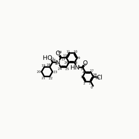 Cc1ccc(C(=O)Nc2cccc3c(=O)n(C(O)C4CCCCC4)ccc23)cc1Cl